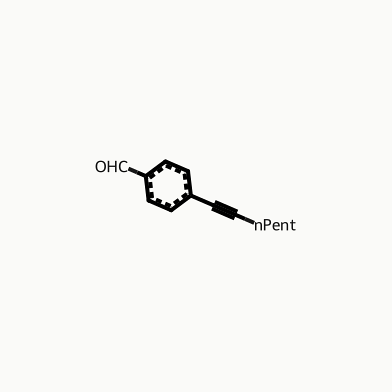 CCCCCC#Cc1ccc(C=O)cc1